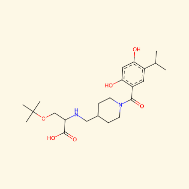 CC(C)c1cc(C(=O)N2CCC(CNC(COC(C)(C)C)C(=O)O)CC2)c(O)cc1O